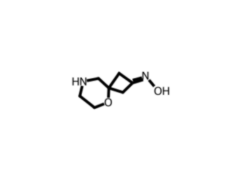 ON=C1CC2(CNCCO2)C1